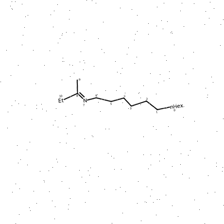 CCCCCCCCCCCCN=C(C)CC